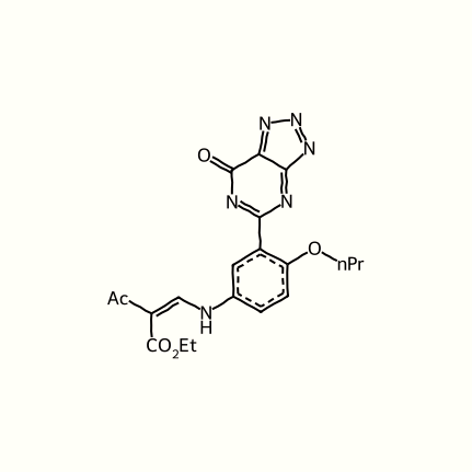 CCCOc1ccc(NC=C(C(C)=O)C(=O)OCC)cc1C1=NC(=O)C2=NN=NC2=N1